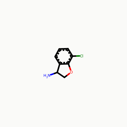 NC1COc2c(Cl)cccc21